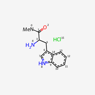 CNC(=O)C(N)Cc1c[nH]c2ccccc12.Cl